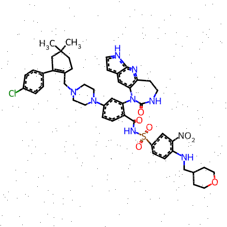 CC1(C)CCC(CN2CCN(c3ccc(C(=O)NS(=O)(=O)c4ccc(NCC5CCOCC5)c([N+](=O)[O-])c4)c(N4C(=O)NCCc5nc6[nH]ccc6cc54)c3)CC2)=C(c2ccc(Cl)cc2)C1